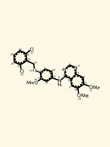 COc1cc2ncnc(Nc3ccc(OCc4c(Cl)cccc4Cl)c(OC)c3)c2cc1OC